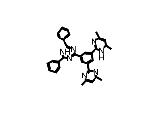 CC1=CC(C)NC(c2cc(C(=N/C(=N)c3ccccc3)/N=C/c3ccccc3)cc(-c3nc(C)cc(C)n3)c2)=N1